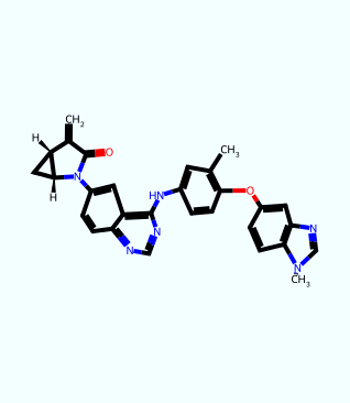 C=C1C(=O)N(c2ccc3ncnc(Nc4ccc(Oc5ccc6c(c5)ncn6C)c(C)c4)c3c2)[C@@H]2C[C@H]12